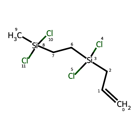 C=CC[Si](Cl)(Cl)CC[Si](C)(Cl)Cl